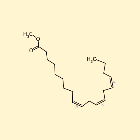 CCC/C=C\C/C=C\C/C=C\CCCCCCCC(=O)OC